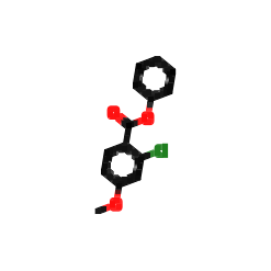 COc1ccc(C(=O)Oc2ccccc2)c(Cl)c1